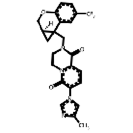 Cc1cn(-c2ccc3n(c2=O)CCN(CC24C[C@H]2COc2ccc(C(F)(F)F)cc24)C3=O)cn1